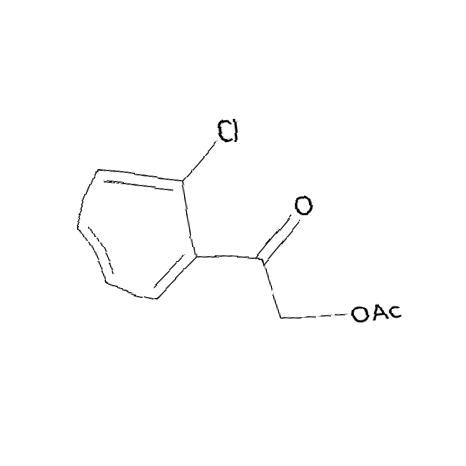 CC(=O)OCC(=O)c1ccccc1Cl